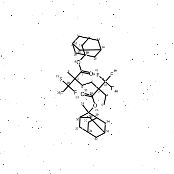 CCC(CCC(C)(C(=O)OC12CC3CC(CC(C3)C1)C2)C(F)(F)F)(C(=O)OC1(C)C2CC3CC(C2)CC1C3)C(F)(F)F